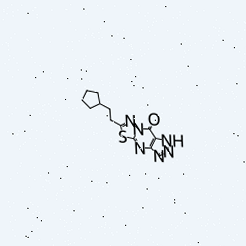 O=c1c2[nH]nnc2nc2sc(CCC3CCCC3)nn12